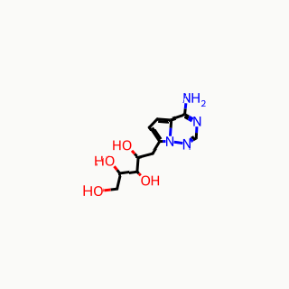 Nc1ncnn2c(CC(O)C(O)C(O)CO)ccc12